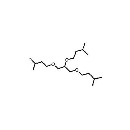 CC(C)CCOCC(COCCC(C)C)OCCC(C)C